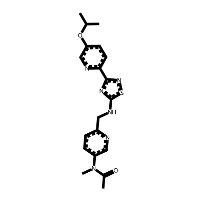 CC(=O)N(C)c1ccc(CNc2nc(-c3ccc(OC(C)C)cn3)ns2)nc1